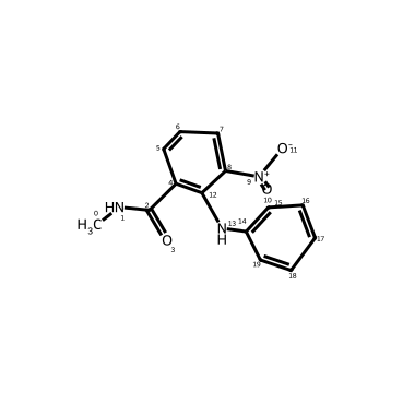 CNC(=O)c1cccc([N+](=O)[O-])c1Nc1ccccc1